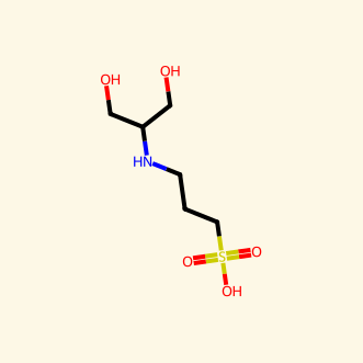 O=S(=O)(O)CCCNC(CO)CO